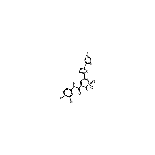 CN1C(C(=O)Nc2ccc(F)c(Br)c2)=CC(c2ncc(-c3cn(C)cn3)s2)=NS1(=O)=O